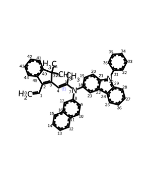 C=CC1=C(/C=C(\C)N(c2ccc3ccccc3c2)c2ccc3c(c2)c2ccccc2n3-c2ccccc2)C(C)(C)c2ccccc21